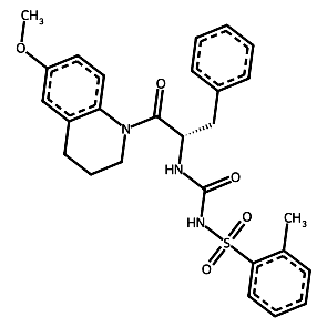 COc1ccc2c(c1)CCCN2C(=O)[C@H](Cc1ccccc1)NC(=O)NS(=O)(=O)c1ccccc1C